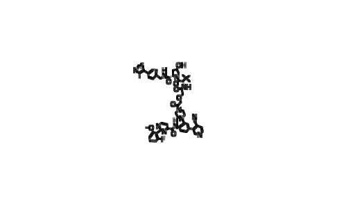 COc1cccc(F)c1-c1nccc(C(=O)Nc2ccc(-c3cnccc3C#N)cc2N2CCN(C(=O)COCC(=O)N[C@H](C(=O)N3C[C@H](O)C[C@H]3C(=O)NCc3ccc(-c4scnc4C)cc3)C(C)(C)C)CC2)n1